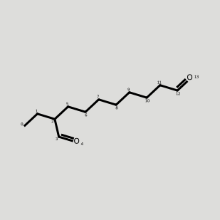 CCC(C=O)CCCCCCCC=O